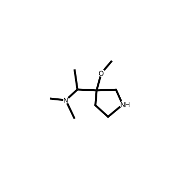 COC1(C(C)N(C)C)CCNC1